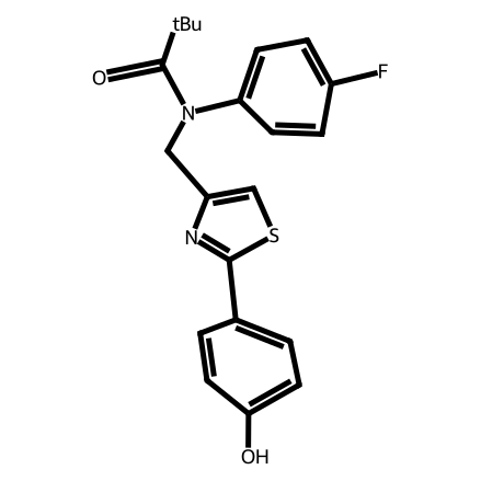 CC(C)(C)C(=O)N(Cc1csc(-c2ccc(O)cc2)n1)c1ccc(F)cc1